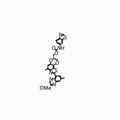 COc1cnc2c(-c3nc4c(C)cc5c(c4s3)OC[C@H](COC(=O)Nc3ccc4ncsc4c3)O5)cc(C)cc2n1